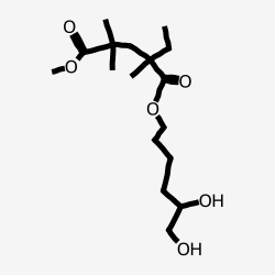 CCC(C)(CC(C)(C)C(=O)OC)C(=O)OCCCCC(O)CO